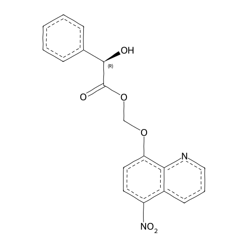 O=C(OCOc1ccc([N+](=O)[O-])c2cccnc12)[C@H](O)c1ccccc1